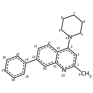 Cc1cc(N2CCCCC2)c2ccc(-c3ccccc3)cc2n1